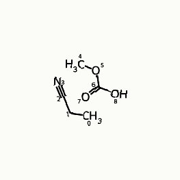 CCC#N.COC(=O)O